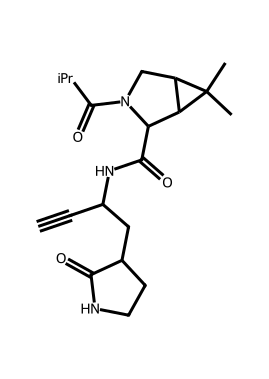 C#CC(CC1CCNC1=O)NC(=O)C1C2C(CN1C(=O)C(C)C)C2(C)C